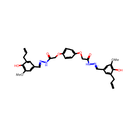 C=CCc1cc(/C=N/NC(=O)COc2ccc(OCC(=O)N/N=C/c3cc(CC=C)c(O)c(OC)c3)cc2)cc(OC)c1O